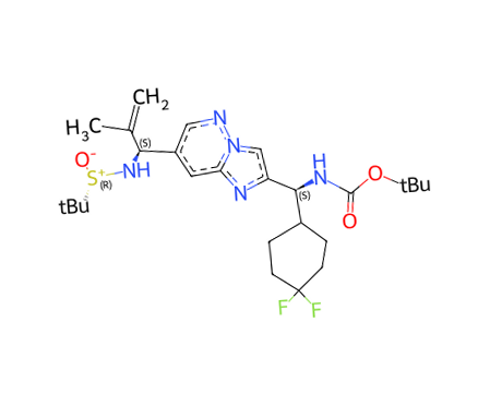 C=C(C)[C@H](N[S@@+]([O-])C(C)(C)C)c1cnn2cc([C@@H](NC(=O)OC(C)(C)C)C3CCC(F)(F)CC3)nc2c1